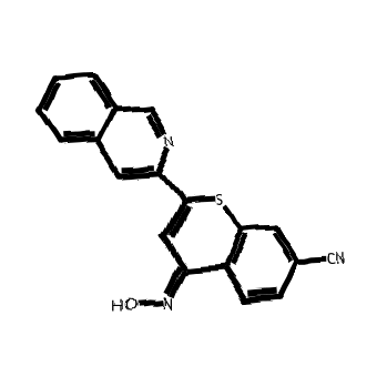 N#Cc1ccc2/c(=N/O)cc(-c3cc4ccccc4cn3)sc2c1